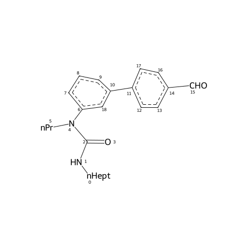 CCCCCCCNC(=O)N(CCC)c1cccc(-c2ccc(C=O)cc2)c1